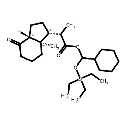 CC[Si](CC)(CC)OC(OC(=O)C(C)[C@H]1CC[C@H]2C(=O)CCC[C@]12C)C1CCCCC1